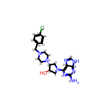 Nc1nc(N2C[C@@H](O)[C@H](N3CCN(Cc4ccc(Cl)cc4)CC3)C2)c2nc[nH]c2n1